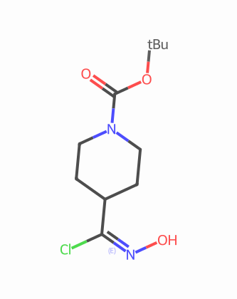 CC(C)(C)OC(=O)N1CCC(/C(Cl)=N\O)CC1